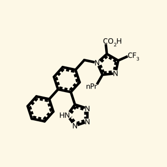 CCCc1nc(C(F)(F)F)c(C(=O)O)n1Cc1ccc(-c2ccccc2)c(-c2nnn[nH]2)c1